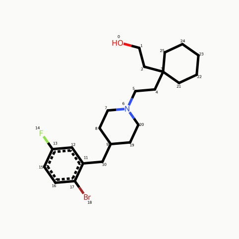 OCCC1(CCN2CCC(Cc3cc(F)ccc3Br)CC2)CCCCC1